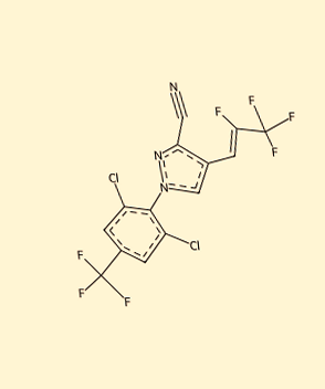 N#Cc1nn(-c2c(Cl)cc(C(F)(F)F)cc2Cl)cc1/C=C(\F)C(F)(F)F